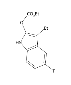 CCOC(=O)Oc1[nH]c2ccc(F)cc2c1CC